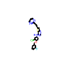 Fc1cccc(COc2ccc(Nc3ncnc4cc(C#Cc5ncccn5)sc34)cc2Cl)c1